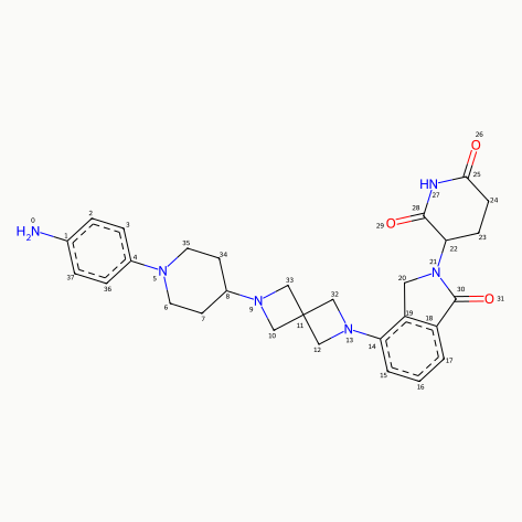 Nc1ccc(N2CCC(N3CC4(CN(c5cccc6c5CN(C5CCC(=O)NC5=O)C6=O)C4)C3)CC2)cc1